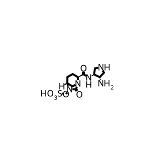 N[C@H]1CNC[C@H]1NC(=O)[C@@H]1CC[C@@H]2CN1C(=O)N2OS(=O)(=O)O